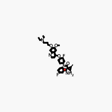 CCN(CC)CCCOc1cc2nccc(Oc3ccc(N(C(=O)C4(C(N)=O)[C@H](C)[C@@H]4C)c4ccc(F)cc4)cc3F)c2cc1OC